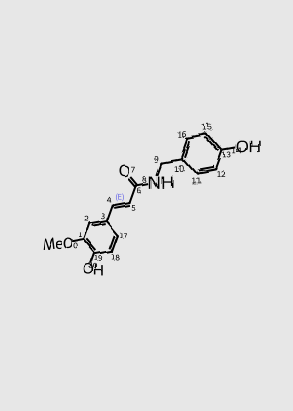 COc1cc(/C=C/C(=O)NCc2ccc(O)cc2)ccc1O